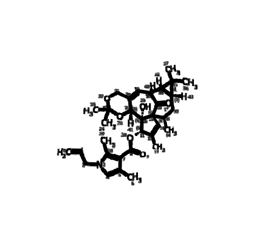 C=CCn1cc(C)c(C(=O)O[C@H]2C(C)=C[C@]34C(=O)[C@@H](C=C5COC(C)(C)O[C@H]5[C@]23O)[C@H]2[C@@H](C[C@H]4C)C2(C)C)c1C